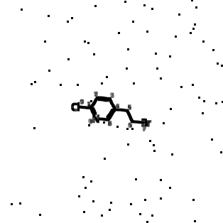 Clc1ccc(CCBr)cn1